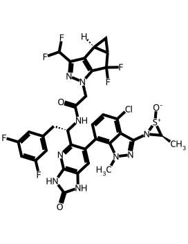 C[C@H]1N(c2nn(C)c3c(-c4cc5[nH]c(=O)[nH]c5nc4[C@H](Cc4cc(F)cc(F)c4)NC(=O)Cn4nc(C(F)F)c5c4C(F)(F)C4C[C@H]54)ccc(Cl)c23)[S+]1[O-]